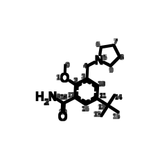 COc1c(CN2CCCC2)cc(C(C)(C)C)cc1C(N)=O